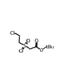 CC(C)(C)OC(=O)CS(=O)(=O)CCCl